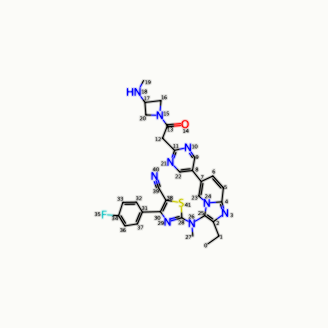 CCc1nc2ccc(-c3cnc(CC(=O)N4CC(NC)C4)nc3)cn2c1N(C)c1nc(-c2ccc(F)cc2)c(C#N)s1